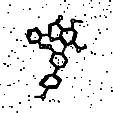 COc1ccc(N2CC[C@@H](c3c(OC)cc(OC)c4c(=O)cc(-c5ccccc5Cl)oc34)[C@H](O)C2)cc1